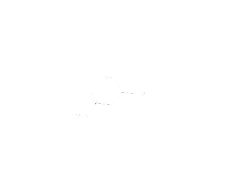 CNC(=O)CC(OC)OC